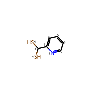 SC(S)c1ccccn1